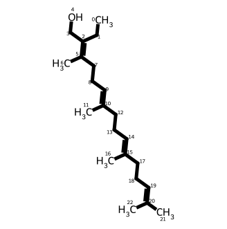 CC/C(CO)=C(/C)CC/C=C(\C)CC/C=C(\C)CCC=C(C)C